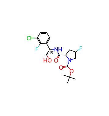 CC(C)(C)OC(=O)N1CC(F)CC1C(=O)N[C@@H](CO)c1cccc(Cl)c1F